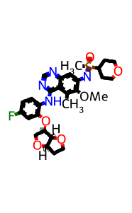 COc1c(N=S(C)(=O)C2CCOCC2)cc2ncnc(Nc3ccc(F)cc3O[C@@H]3CO[C@@H]4CCO[C@@H]43)c2c1C